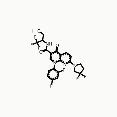 CCC(NC(=O)c1cn(-c2ccc(F)cc2F)c2nc(N3CCC(F)(F)C3)ccc2c1=O)C(F)(F)F